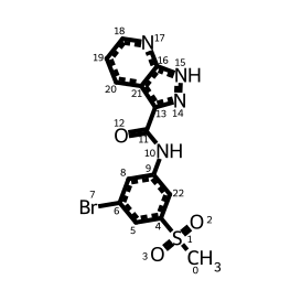 CS(=O)(=O)c1cc(Br)cc(NC(=O)c2n[nH]c3ncccc23)c1